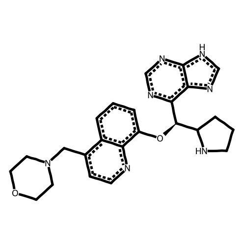 c1cc(O[C@@H](c2ncnc3[nH]cnc23)C2CCCN2)c2nccc(CN3CCOCC3)c2c1